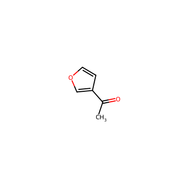 CC(=O)c1ccoc1